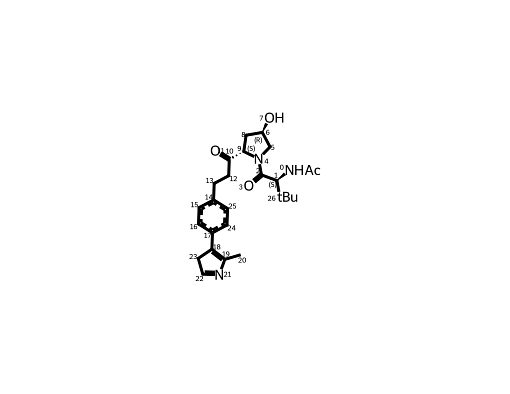 CC(=O)N[C@H](C(=O)N1C[C@H](O)C[C@H]1C(=O)CCc1ccc(C2=C(C)N=CC2)cc1)C(C)(C)C